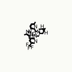 Cc1ccc(-n2nc(C)c(C)n2)c(C(=O)N2C[C@@H]3C[C@@H]3C[C@H]2CNc2ccc(C(F)(F)F)cn2)n1